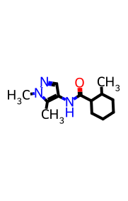 Cc1c(NC(=O)C2CCCCC2C)cnn1C